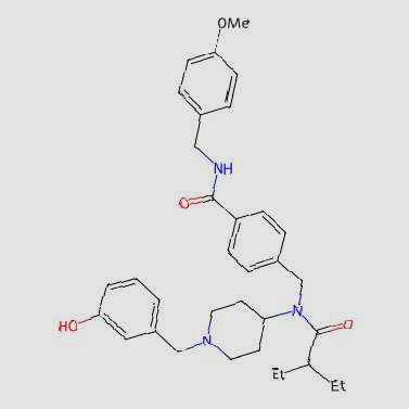 CCC(CC)C(=O)N(Cc1ccc(C(=O)NCc2ccc(OC)cc2)cc1)C1CCN(Cc2cccc(O)c2)CC1